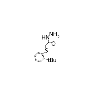 CC(C)(C)c1ccccc1SCC(=O)NN